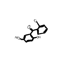 O=C(c1cc(O)ccc1O)c1ccccc1Cl